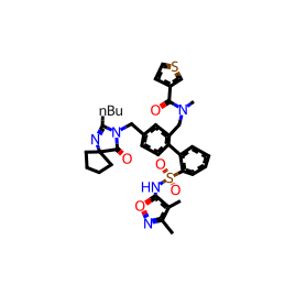 CCCCC1=NC2(CCCC2)C(=O)N1Cc1ccc(-c2ccccc2S(=O)(=O)Nc2onc(C)c2C)c(CN(C)C(=O)c2ccsc2)c1